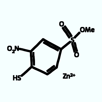 COS(=O)(=O)c1ccc(S)c([N+](=O)[O-])c1.[Zn+2]